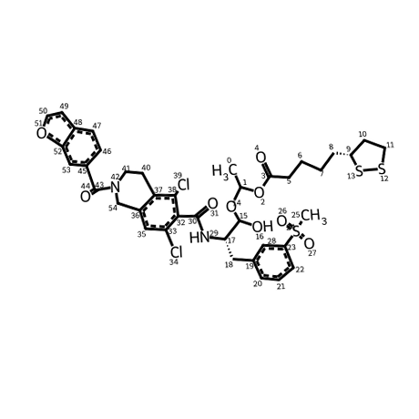 CC(OC(=O)CCCC[C@@H]1CCSS1)OC(O)[C@H](Cc1cccc(S(C)(=O)=O)c1)NC(=O)c1c(Cl)cc2c(c1Cl)CCN(C(=O)c1ccc3ccoc3c1)C2